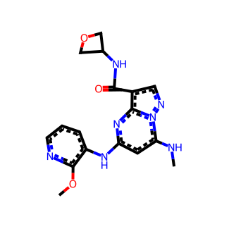 CNc1cc(Nc2cccnc2OC)nc2c(C(=O)NC3COC3)cnn12